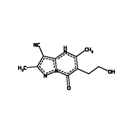 Cc1nn2c(=O)c(CCO)c(C)[nH]c2c1C#N